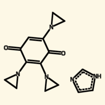 O=C1C=C(N2CC2)C(=O)C(N2CC2)=C1N1CC1.c1c[nH]cn1